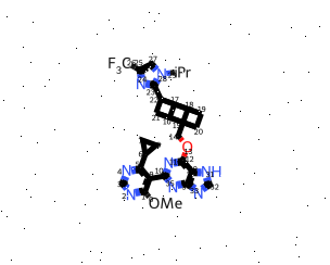 COc1ncnc(C2CC2)c1-c1nc(OCC23C4C5C2C2C3C4C52c2nc(C(F)(F)F)cn2C(C)C)c2[nH]cnc2n1